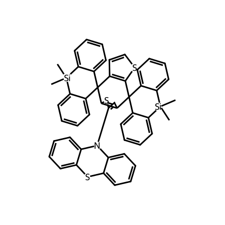 C[Si]1(C)c2ccccc2C2(c3ccccc31)c1cc(N3c4ccccc4Sc4ccccc43)sc1C1(c3ccccc3[Si](C)(C)c3ccccc31)c1ccsc12